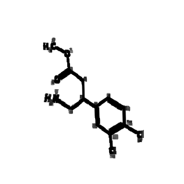 COC(=O)CC(CN)c1ccc(Cl)c(Cl)c1